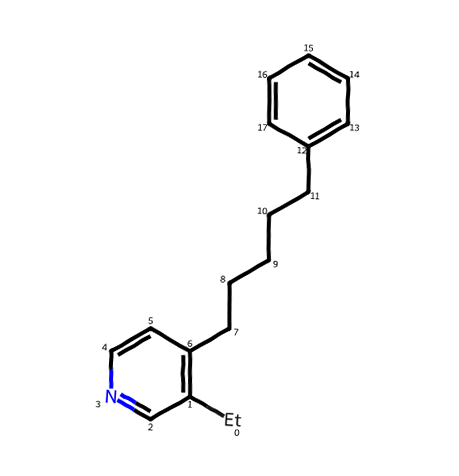 CCc1cnccc1CCCCCc1ccccc1